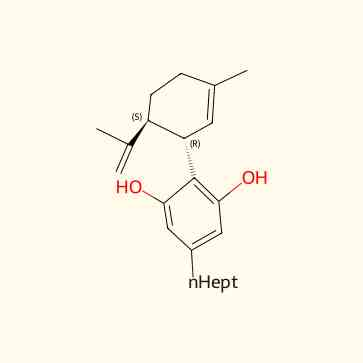 C=C(C)[C@H]1CCC(C)=C[C@@H]1c1c(O)cc(CCCCCCC)cc1O